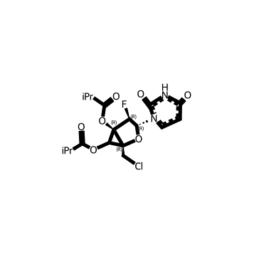 CC(C)C(=O)OC1[C@@]2(CCl)O[C@@H](n3ccc(=O)[nH]c3=O)[C@H](F)[C@@]12OC(=O)C(C)C